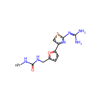 CCCNC(=O)NCc1ccc(-c2csc(N=C(N)N)n2)o1